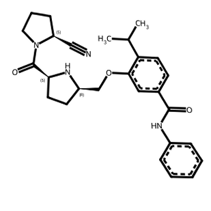 CC(C)c1ccc(C(=O)Nc2ccccc2)cc1OC[C@H]1CC[C@@H](C(=O)N2CCC[C@H]2C#N)N1